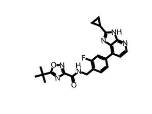 CC(C)(C)c1nc(C(=O)NCc2ccc(-c3ccnc4[nH]c(C5CC5)nc34)cc2F)no1